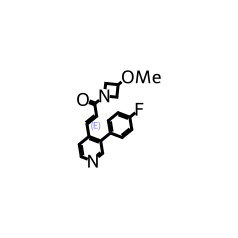 COC1CN(C(=O)/C=C/c2ccncc2-c2ccc(F)cc2)C1